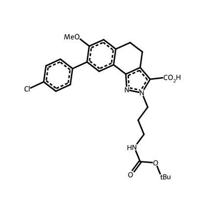 COc1cc2c(cc1-c1ccc(Cl)cc1)-c1nn(CCCNC(=O)OC(C)(C)C)c(C(=O)O)c1CC2